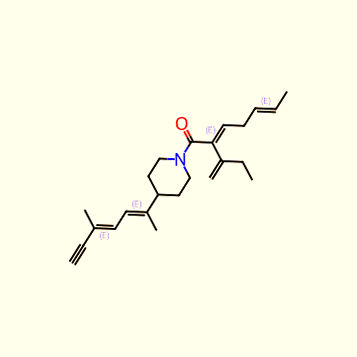 C#C/C(C)=C/C=C(\C)C1CCN(C(=O)/C(=C/C/C=C/C)C(=C)CC)CC1